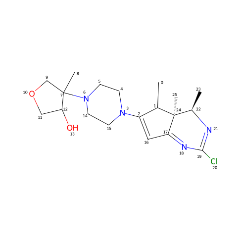 CC1C(N2CCN(C3(C)COCC3O)CC2)=CC2=NC(Cl)=N[C@H](C)[C@@]21C